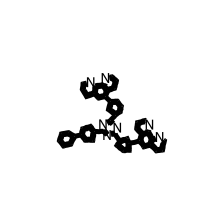 c1ccc(-c2ccc(-c3nc(-c4cccc(-c5cc6cccnc6c6ncccc56)c4)nc(-c4cccc(-c5cc6cccnc6c6ncccc56)c4)n3)cc2)cc1